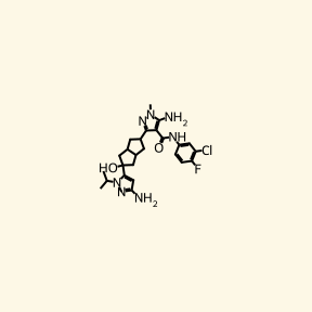 CC(C)n1nc(N)cc1C1(O)CC2CC(c3nn(C)c(N)c3C(=O)Nc3ccc(F)c(Cl)c3)CC2C1